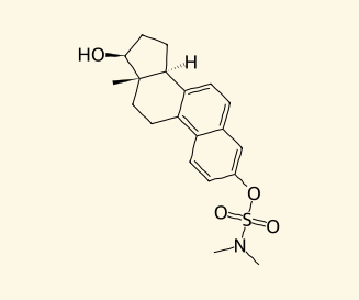 CN(C)S(=O)(=O)Oc1ccc2c3c(ccc2c1)[C@@H]1CC[C@H](O)[C@@]1(C)CC3